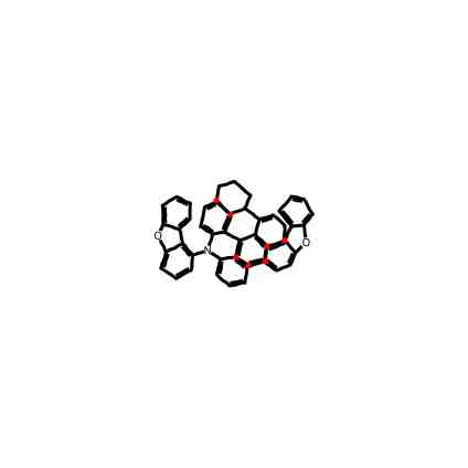 C1=C(C2CCCCC2)c2c(cccc2-c2ccccc2N(c2cccc(-c3ccc4oc5ccccc5c4c3)c2)c2cccc3oc4ccccc4c23)CC1